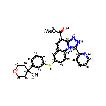 COC(=O)c1cc2cc(Sc3cccc(C4(C#N)CCOCC4)c3)ccc2n2c(-c3ccccn3)nnc12